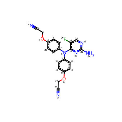 N#CCOc1ccc(N(c2ccc(OCC#N)cc2)c2nc(N)ncc2F)cc1